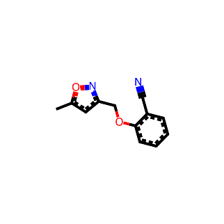 Cc1cc(COc2ccccc2C#N)no1